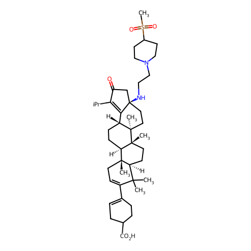 CC(C)C1=C2[C@H]3CC[C@@H]4[C@@]5(C)CC=C(C6=CCC(C(=O)O)CC6)C(C)(C)[C@@H]5CC[C@@]4(C)[C@]3(C)CC[C@@]2(NCCN2CCC(S(C)(=O)=O)CC2)CC1=O